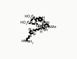 CSCCC(NC(=S)Nc1ccc(CC2CN(CC(=O)O)CCN(CC(=O)O)CCN2CC(=O)O)cc1)C(=O)NC(C(=O)NC(CCCCN1C(=O)CC(SCCCC(=N)N)C1=O)C(=O)O)C(C)C